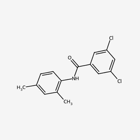 Cc1ccc(NC(=O)c2cc(Cl)cc(Cl)c2)c(C)c1